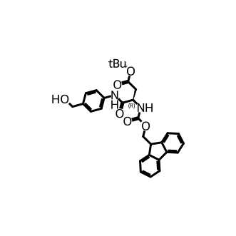 CC(C)(C)OC(=O)C[C@@H](NC(=O)OCC1c2ccccc2-c2ccccc21)C(=O)Nc1ccc(CO)cc1